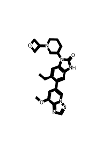 CCc1cc2c(cc1-c1cc(OC)c3ncnn3c1)[nH]c(=O)n2C1CCCN(C2COC2)C1